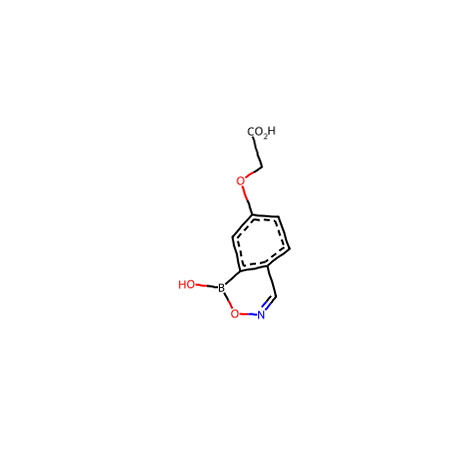 O=C(O)COc1ccc2c(c1)B(O)ON=C2